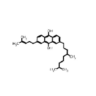 CC(C)=CCCc1ccc2c(O)c3ccc(CCCC(C)CCCC(C)C)cc3c(O)c2c1